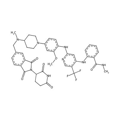 CNC(=O)c1ccccc1Nc1cc(Nc2ccc(N3CCC(N(C)Cc4ccc5c(c4)C(=O)N(C4CCC(=O)NC4=O)C5=O)CC3)cc2OC)ncc1C(F)(F)F